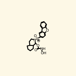 O=C(NO)OC1C2CCCCC2CCN1S(=O)(=O)c1ccc2oc3ccccc3c2c1